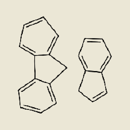 C1=Cc2ccccc2C1.c1ccc2c(c1)Cc1ccccc1-2